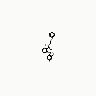 O=C(NCCOc1ccccc1)c1ccncc1[AsH]c1ccc(I)cc1F